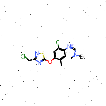 CCN(C)/C=N\c1cc(C)c(Oc2nc(CCl)ns2)cc1Cl